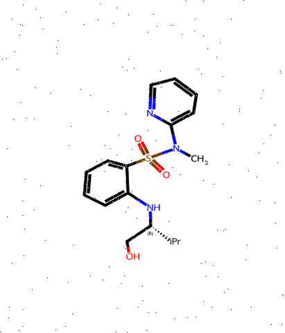 CC(C)[C@H](CO)Nc1ccccc1S(=O)(=O)N(C)c1ccccn1